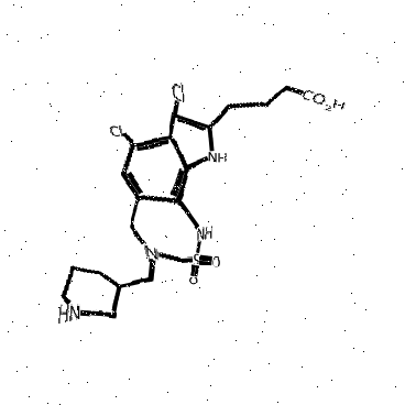 O=C(O)CCCc1[nH]c2c3c(cc(Cl)c2c1Cl)CN(CC1CCCNC1)S(=O)(=O)N3